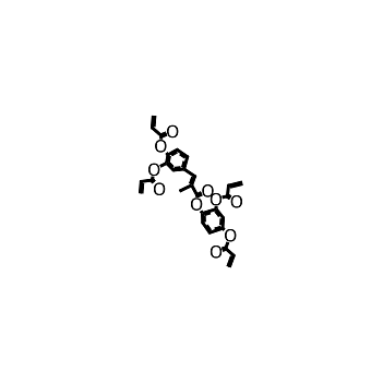 C=CC(=O)Oc1ccc(OC(=O)/C(C)=C/c2ccc(OC(=O)C=C)c(OC(=O)C=C)c2)c(OC(=O)C=C)c1